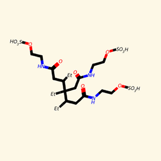 CCC(CC(=O)NCCOS(=O)(=O)O)C(CC)(CC(=O)NCCOS(=O)(=O)O)C(CC)CC(=O)NCCOS(=O)(=O)O